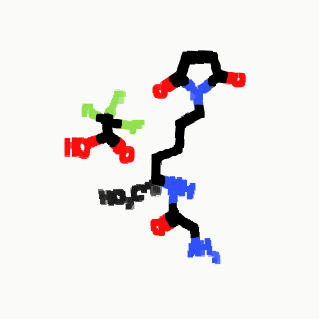 NCC(=O)N[C@@H](CCCCN1C(=O)C=CC1=O)C(=O)O.O=C(O)C(F)(F)F